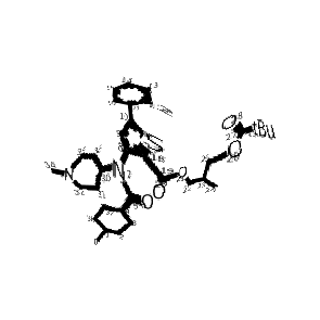 CC1CCC(C(=O)N(c2cc(-c3ccccc3)sc2C(=O)OCC(C)COC(=O)C(C)(C)C)C2CCN(C)CC2)CC1